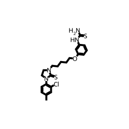 Cc1ccc(N2CCN(CCCCCOc3cccc(NC(N)=S)c3)C2=S)c(Cl)c1